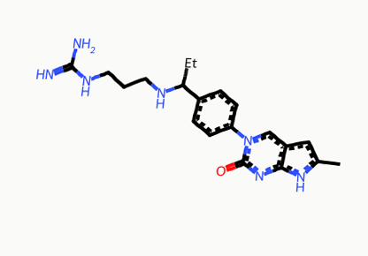 CCC(NCCCNC(=N)N)c1ccc(-n2cc3cc(C)[nH]c3nc2=O)cc1